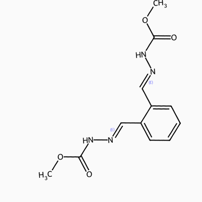 COC(=O)N/N=C/c1ccccc1/C=N/NC(=O)OC